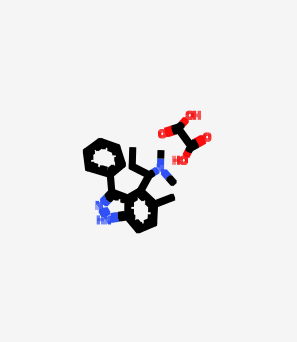 CCC(c1c(C)ccc2[nH]nc(-c3ccccc3)c12)N(C)C.O=C(O)C(=O)O